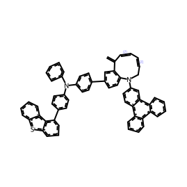 C=C1/C=C\C=C/CN(c2ccc3c4ccccc4c4ccccc4c3c2)c2ccc(-c3ccc(N(c4ccccc4)c4ccc(-c5cccc6sc7ccccc7c56)cc4)cc3)cc21